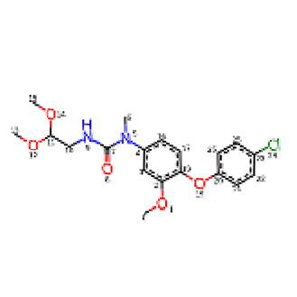 COc1cc(N(C)C(=O)NCC(OC)OC)ccc1Oc1ccc(Cl)cc1